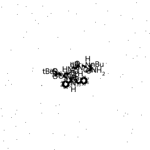 CCCCC(NC(=O)CNC(=O)C(=O)C(CCC)NC(=O)[C@@H]1C[C@@H](OCC(=O)OC(C)(C)C)CN1C(=O)C(NC(=O)CC1CCCCC1)C1CCCCC1)C(N)=O